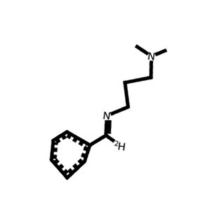 [2H]C(=NCCCN(C)C)c1ccccc1